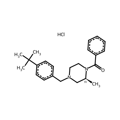 C[C@H]1CN(Cc2ccc(C(C)(C)C)cc2)CCN1C(=O)c1ccccc1.Cl